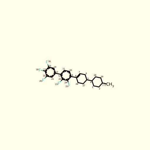 CC1CCC(C2CC=C(c3ccc(-c4cc(F)c(F)c(F)c4)c(F)c3F)CC2)CC1